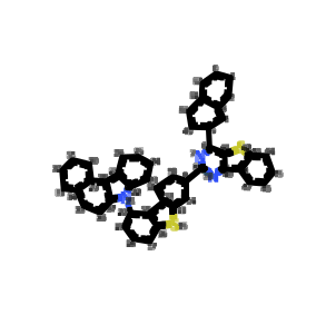 c1ccc2cc(-c3nc(-c4ccc5c(c4)sc4cccc(-n6c7ccccc7c7c8ccccc8ccc76)c45)nc4c3sc3ccccc34)ccc2c1